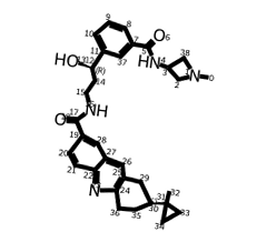 CN1CC(NC(=O)c2cccc([C@H](O)CCNC(=O)c3ccc4nc5c(cc4c3)C[C@@H](C3(C)CC3)CC5)c2)C1